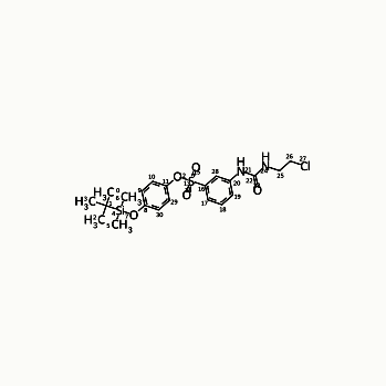 CC(C)(C)[Si](C)(C)Oc1ccc(OS(=O)(=O)c2cccc(NC(=O)NCCCl)c2)cc1